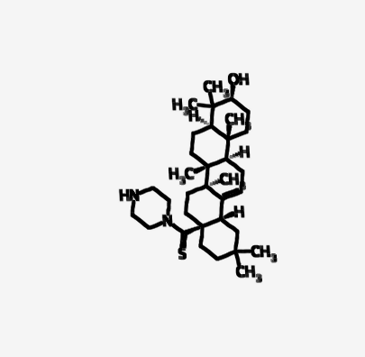 CC1(C)CC[C@]2(C(=S)N3CCNCC3)CC[C@]3(C)C(=CC[C@@H]4[C@@]5(C)CC[C@H](O)C(C)(C)[C@@H]5CC[C@]43C)[C@@H]2C1